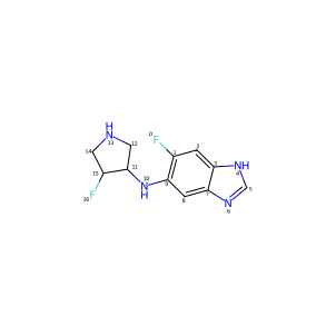 Fc1cc2[nH]cnc2cc1NC1CNCC1F